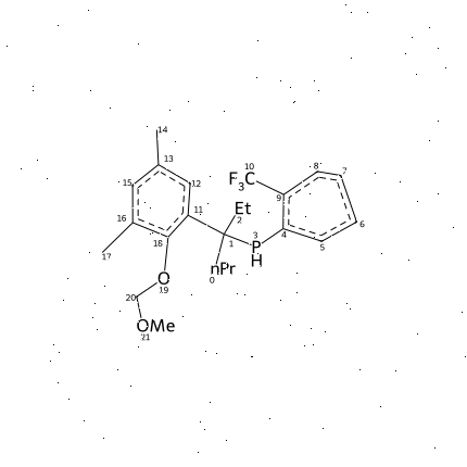 CCCC(CC)(Pc1ccccc1C(F)(F)F)c1cc(C)cc(C)c1OCOC